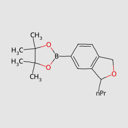 CCCC1OCc2ccc(B3OC(C)(C)C(C)(C)O3)cc21